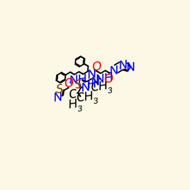 CC(C)c1nc(CN(C)NC(CC(=O)N2CCn3cncc3C2)C(=O)NC(CCC(Cc2ccccc2)NOCc2cncs2)Cc2ccccc2)cs1